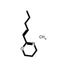 C.CCCC=CC1=NCCCO1